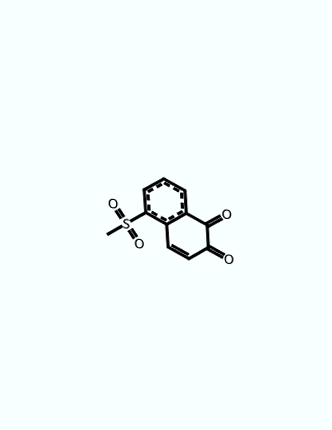 CS(=O)(=O)c1cccc2c1C=CC(=O)C2=O